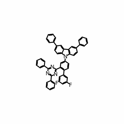 Fc1cc(F)cc(-c2ccc(-n3c4ccc(-c5ccccc5)cc4c4cc(-c5ccccc5)ccc43)cc2-c2nc(-c3ccccc3)nc(-c3ccccc3)n2)c1